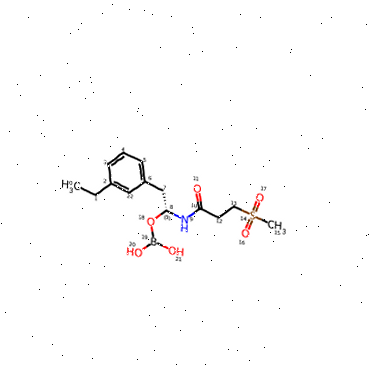 CCc1cccc(C[C@H](NC(=O)CCS(C)(=O)=O)OB(O)O)c1